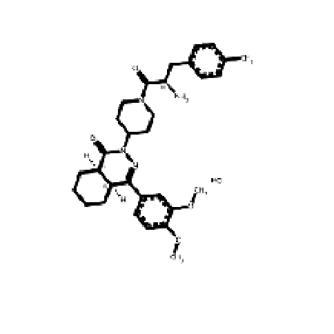 COc1ccc(C2=NN(C3CCN(C(=O)[C@H](N)Cc4ccc(C)cc4)CC3)C(=O)[C@@H]3CCCC[C@H]23)cc1OC.Cl